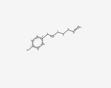 Cc1ccc(COCCCC=O)cc1